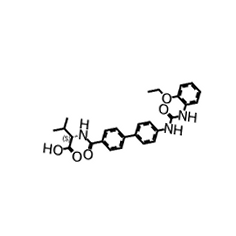 CCOc1ccccc1NC(=O)Nc1ccc(-c2ccc(C(=O)N[C@H](C(=O)O)C(C)C)cc2)cc1